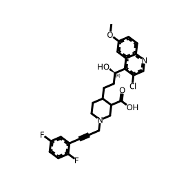 COc1ccc2ncc(Cl)c([C@H](O)CCC3CCN(CC#Cc4cc(F)ccc4F)CC3C(=O)O)c2c1